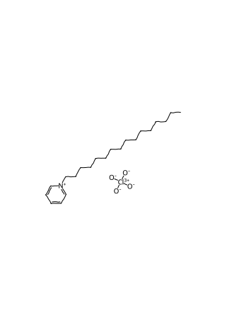 CCCCCCCCCCCCCCCC[n+]1ccccc1.[O-][Cl+3]([O-])([O-])[O-]